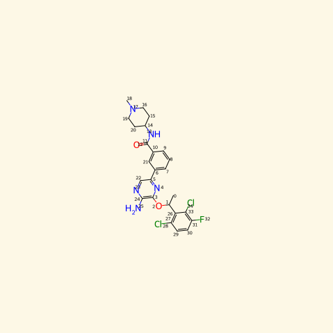 CC(Oc1nc(-c2cccc(C(=O)NC3CCN(C)CC3)c2)cnc1N)c1c(Cl)ccc(F)c1Cl